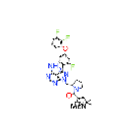 CNC1(/C=C(\C#N)C(=O)N2CCC[C@@H]2Cn2nc(-c3ccc(Oc4cccc(F)c4F)cc3F)c3c(N)ncnc32)CC1